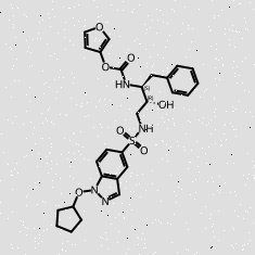 O=C(N[C@@H](Cc1ccccc1)[C@H](O)CNS(=O)(=O)c1ccc2c(cnn2OC2CCCC2)c1)Oc1ccoc1